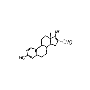 C[C@]12CCC3c4ccc(O)cc4CCC3C1CC(C=O)=C2Br